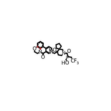 O=C(C1=CN(C[C@]2(O)CCN(C(=O)[C@H](CO)CC(F)(F)F)CC23CCCC3)CC=C1c1ccccc1)N1CCOCC1